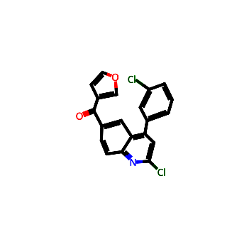 O=C(c1ccoc1)c1ccc2nc(Cl)cc(-c3cccc(Cl)c3)c2c1